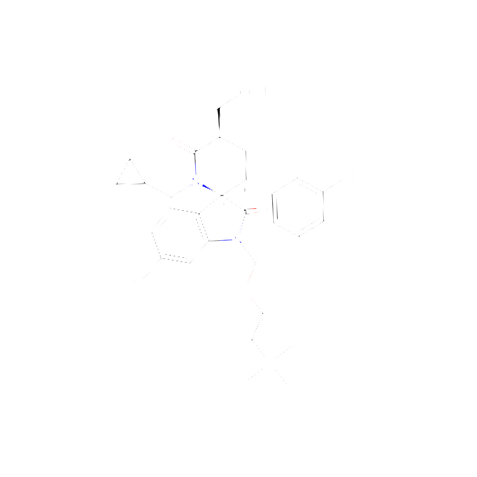 C[Si](C)(C)CCOCN1C(=O)[C@]2(c3ccc(Cl)cc31)[C@@H](c1cccc(Cl)c1)C[C@H](CC(=O)O)C(=O)N2CC1CC1